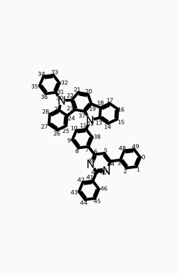 c1ccc(-c2cc(-c3cccc(-n4c5ccccc5c5ccc6c(c7ccccc7n6-c6ccccc6)c54)c3)nc(-c3ccccc3)n2)cc1